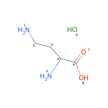 Cl.NCCC(N)C(=O)O